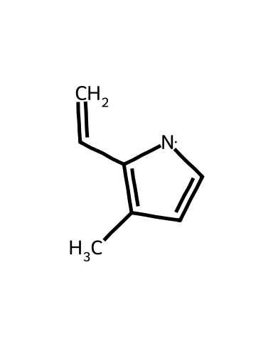 C=CC1=C(C)C=C[N]1